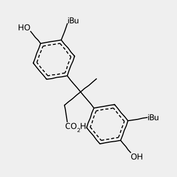 CCC(C)c1cc(C(C)(CC(=O)O)c2ccc(O)c(C(C)CC)c2)ccc1O